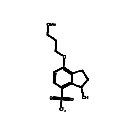 COCCCOc1ccc(S(=O)(=O)C(F)(F)F)c2c1CCC2O